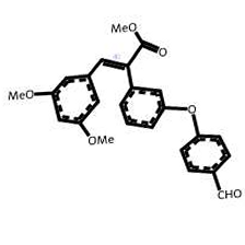 COC(=O)/C(=C/c1cc(OC)cc(OC)c1)c1cccc(Oc2ccc(C=O)cc2)c1